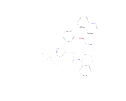 Cc1ccc(-n2nc(C(C)(C)C)cc2NC(=O)Nc2ccccc2CC2CCN(C(=O)c3ccnc4ccccc34)CC2)cc1